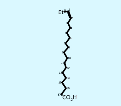 CC/C=C\CCCCCCCCCCCCCCCC(=O)O